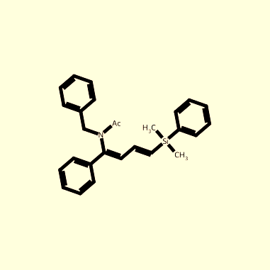 CC(=O)N(Cc1ccccc1)/C(=C\C=C\[Si](C)(C)c1ccccc1)c1ccccc1